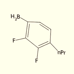 Bc1ccc(CCC)c(F)c1F